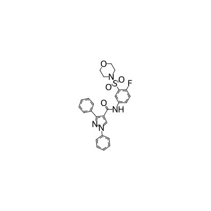 O=C(Nc1ccc(F)c(S(=O)(=O)N2CCOCC2)c1)c1cn(-c2ccccc2)nc1-c1ccccc1